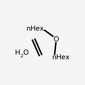 C=C.CCCCCCOCCCCCC.O